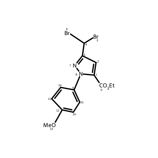 CCOC(=O)c1cc(C(Br)Br)nn1-c1ccc(OC)cc1